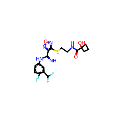 N=C(Nc1ccc(F)c(C(F)F)c1)c1nonc1SCCNC(=O)C1(O)CCC1